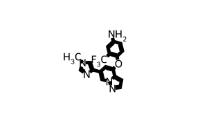 Cn1cnc(-c2cc(Oc3ccc(N)cc3C(F)(F)F)c3ccnn3c2)c1